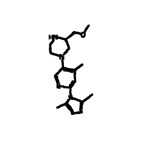 COC[C@H]1CN(c2cnc(-n3c(C)ccc3C)cc2C)CCN1